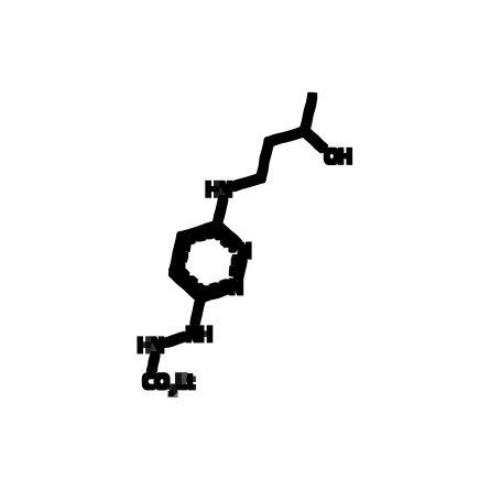 CCOC(=O)NNc1ccc(NCCC(C)O)nn1